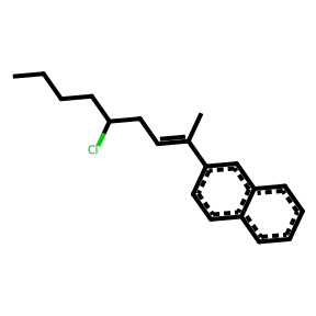 CCCCC(Cl)CC=C(C)c1ccc2ccccc2c1